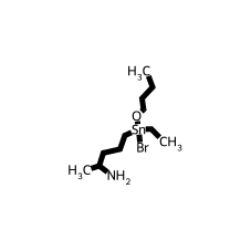 CCCC[O][Sn]([Br])([CH2]C)[CH2]CCC(C)N